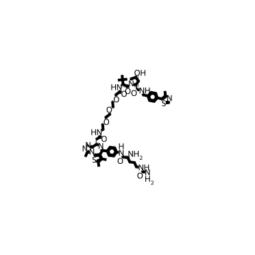 Cc1ncsc1-c1ccc(CNC(=O)[C@@H]2C[C@@H](O)CN2C(=O)[C@@H](NC(=O)COCCOCCOCCNC(=O)C[C@@H]2N=C(c3ccc(NC(=O)[C@@H](N)CCCNC(N)=O)cc3)c3c(sc(C)c3C)-n3c(C)nnc32)C(C)(C)C)cc1